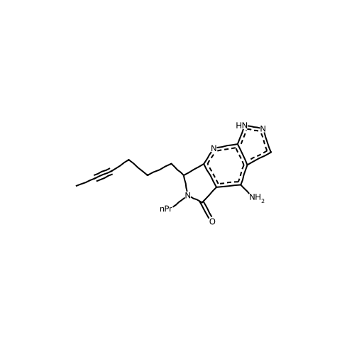 CC#CCCCC1c2nc3[nH]ncc3c(N)c2C(=O)N1CCC